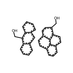 OCc1c2ccccc2cc2ccccc12.OCc1ccc2ccc3cccc4ccc1c2c34